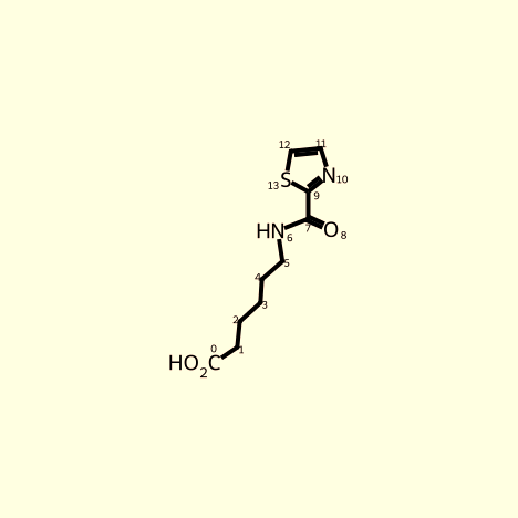 O=C(O)CCCCCNC(=O)c1nccs1